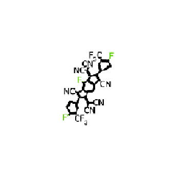 N#CC(C#N)=C1C(c2ccc(F)c(C(F)(F)F)c2)=C(C#N)c2c1cc1c(c2F)C(=C(C#N)C#N)C(c2ccc(F)c(C(F)(F)F)c2)=C1C#N